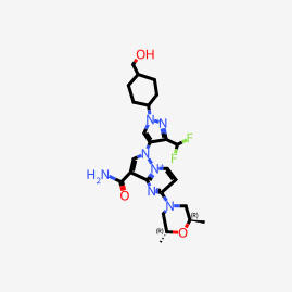 C[C@@H]1CN(c2cc[n+]3c(n2)c(C(N)=O)cn3-c2cn(C3CCC(CO)CC3)nc2C(F)F)C[C@@H](C)O1